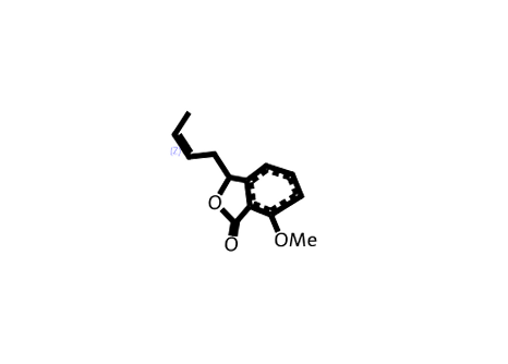 C/C=C\CC1OC(=O)c2c(OC)cccc21